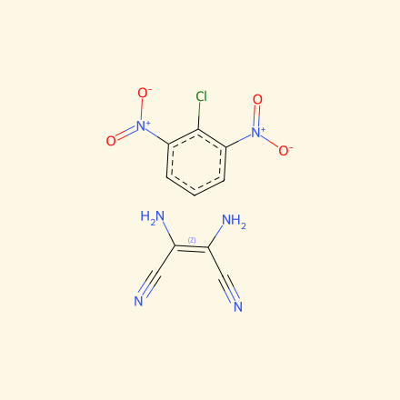 N#C/C(N)=C(/N)C#N.O=[N+]([O-])c1cccc([N+](=O)[O-])c1Cl